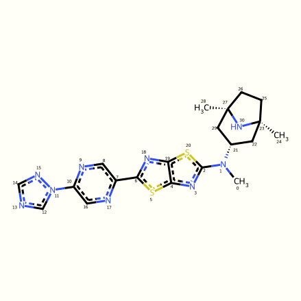 CN(c1nc2sc(-c3cnc(-n4cncn4)cn3)nc2s1)[C@H]1C[C@]2(C)CC[C@](C)(C1)N2